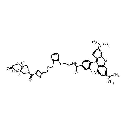 CN(C)c1ccc2c(-c3ccc(C(=O)NCCOc4ccccc4COCC4CN(C(=O)N5CC[C@@H]6OCC(=O)N[C@@H]6C5)C4)cc3C(=O)[O-])c3ccc(=[N+](C)C)cc-3oc2c1